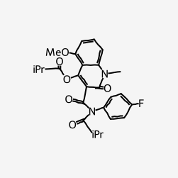 COc1cccc2c1c(OC(=O)C(C)C)c(C(=O)N(C(=O)C(C)C)c1ccc(F)cc1)c(=O)n2C